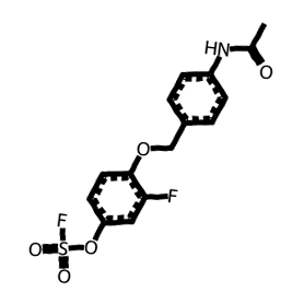 CC(=O)Nc1ccc(COc2ccc(OS(=O)(=O)F)cc2F)cc1